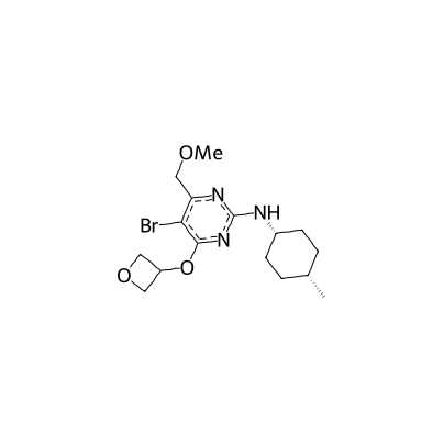 COCc1nc(N[C@H]2CC[C@@H](C)CC2)nc(OC2COC2)c1Br